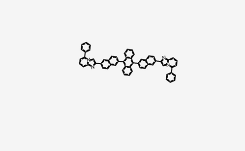 c1ccc(-c2cccc3nc(-c4ccc5cc(-c6c7ccccc7c(-c7ccc8cc(-c9cn%10c(-c%11ccccc%11)cccc%10n9)ccc8c7)c7ccccc67)ccc5c4)cn23)cc1